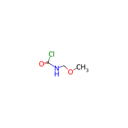 COCNC(=O)Cl